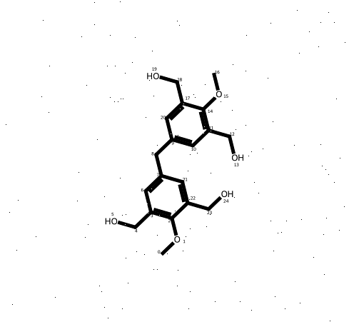 COc1c(CO)cc(Cc2cc(CO)c(OC)c(CO)c2)cc1CO